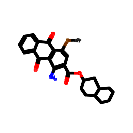 CCCSc1cc(C(=O)OC2CCC3CCCCC3C2)c(N)c2c1C(=O)c1ccccc1C2=O